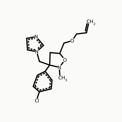 C=CCOCC1CC(Cn2ccnc2)(c2ccc(Cl)cc2)N(C)O1